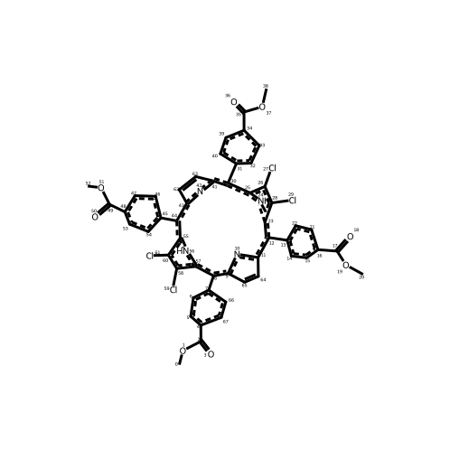 COC(=O)c1ccc(-c2c3nc(c(-c4ccc(C(=O)OC)cc4)c4[nH]c(c(Cl)c4Cl)c(-c4ccc(C(=O)OC)cc4)c4nc(c(-c5ccc(C(=O)OC)cc5)c5[nH]c2c(Cl)c5Cl)C=C4)C=C3)cc1